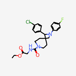 CCOC(=O)CNC(=O)N1CCC2(CC1)CN(c1ccc(F)cc1)C2c1ccc(Cl)cc1